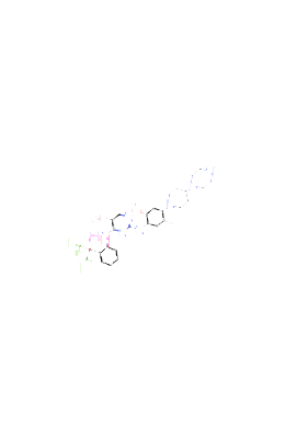 COc1cc(N2CCC(N3CCN(C)CC3)CC2)c(C)cc1Nc1ncc(Br)c(Nc2ccccc2C(O)(C(F)(F)F)C(F)(F)F)n1